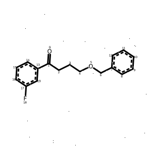 O=C(CCCOCc1ccccc1)c1cccc(F)c1